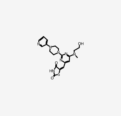 CN(CCO)c1cc(C=C2SC(=O)NC2=O)nc(N2CCN(c3cccnc3)CC2)n1